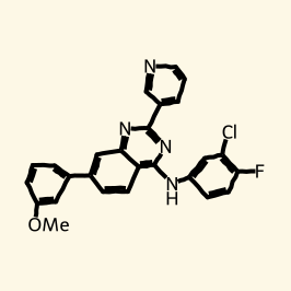 COc1cccc(-c2ccc3c(Nc4ccc(F)c(Cl)c4)nc(-c4cccnc4)nc3c2)c1